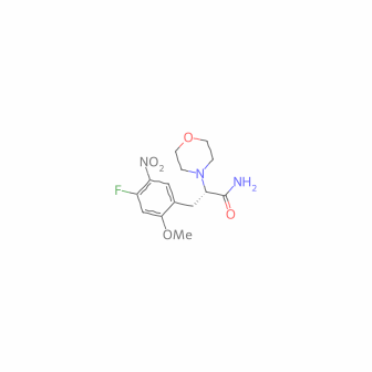 COc1cc(F)c([N+](=O)[O-])cc1C[C@@H](C(N)=O)N1CCOCC1